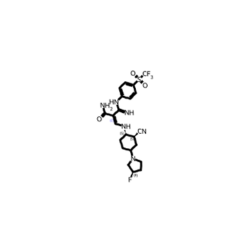 N#C[C@H]1CC(N2CC[C@@H](F)C2)CC[C@@H]1N/C=C(\C(=N)Nc1ccc(S(=O)(=O)C(F)(F)F)cc1)C(N)=O